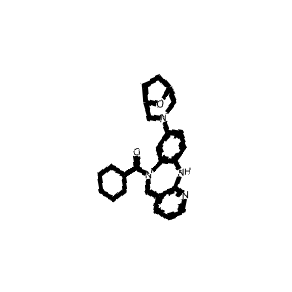 O=C(C1CCCCC1)N1Cc2cccnc2Nc2ccc(N3CC4CCC(C3)O4)cc21